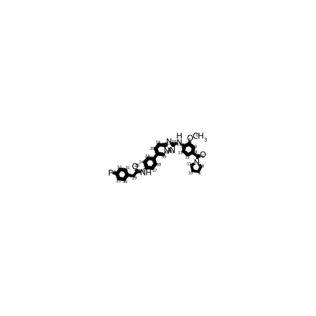 COc1cc(C(=O)N2CCCC2)ccc1Nc1nc2ccc(-c3ccc(NC(=O)Cc4ccc(F)cc4)cc3)cn2n1